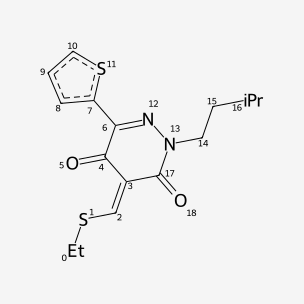 CCSC=C1C(=O)C(c2cccs2)=NN(CCC(C)C)C1=O